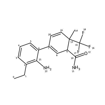 CCc1cccc(C2=CC(C(N)=O)C(C)(C(F)(F)F)C=C2)c1N